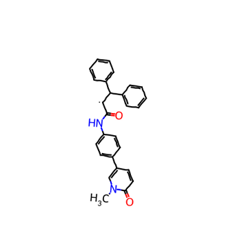 Cn1cc(-c2ccc(NC(=O)[CH]C(c3ccccc3)c3ccccc3)cc2)ccc1=O